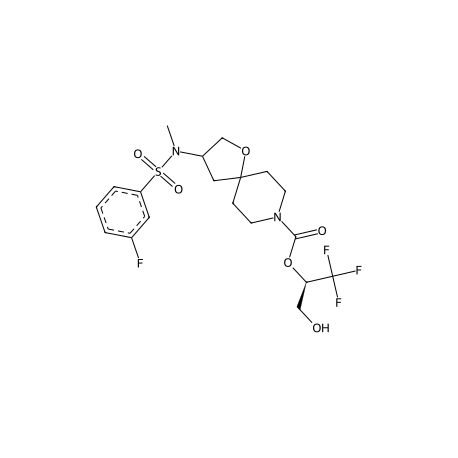 CN(C1COC2(CCN(C(=O)O[C@H](CO)C(F)(F)F)CC2)C1)S(=O)(=O)c1cccc(F)c1